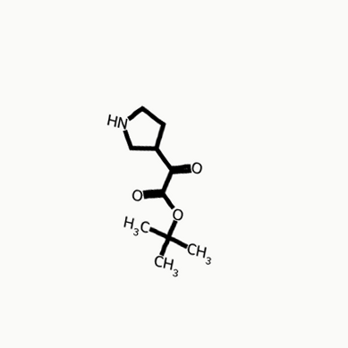 CC(C)(C)OC(=O)C(=O)C1CCNC1